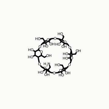 NCC1OC2OC3C(CO)OC(OC4C(CO)OC(OC5C(CO)OC(OC6C(CO)OC(OC7C(CO)OC(OC1C(O)C2O)C(O)C7O)C(O)C6O)C(O)C5O)C(O)C4O)C(O)C3O